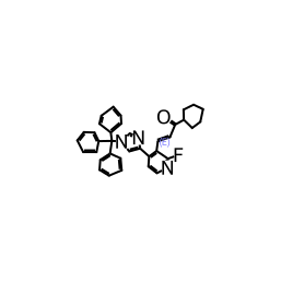 O=C(/C=C/c1c(-c2cn(C(c3ccccc3)(c3ccccc3)c3ccccc3)cn2)ccnc1F)C1CCCCC1